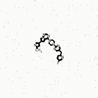 Cn1cc(-c2cc3c(N4CCN(c5ncc(Cc6ccc(F)cn6)cn5)CC4)ncnn3c2)cn1